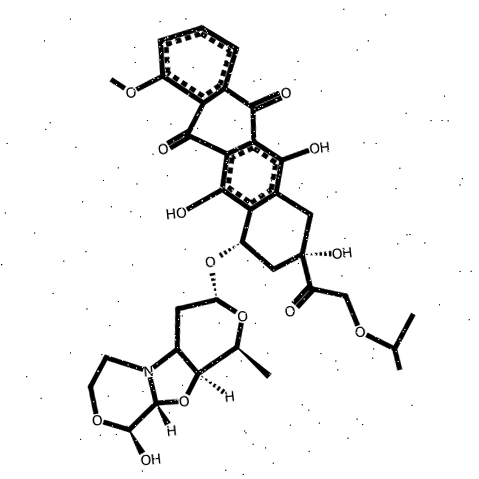 COc1cccc2c1C(=O)c1c(O)c3c(c(O)c1C2=O)C[C@@](O)(C(=O)COC(C)C)C[C@@H]3O[C@H]1CC2[C@H](O[C@@H]3[C@@H](O)OCCN23)[C@H](C)O1